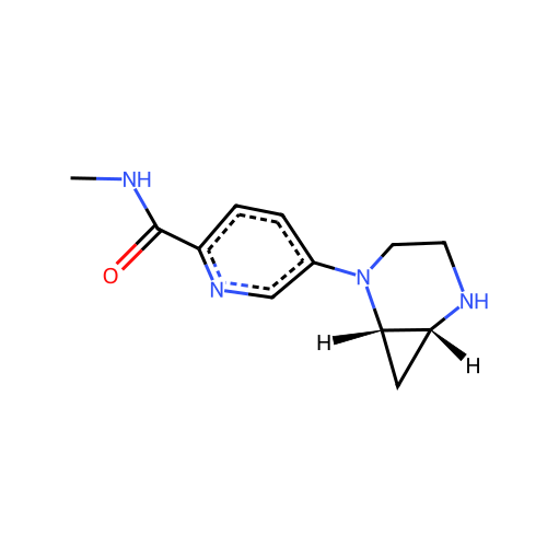 CNC(=O)c1ccc(N2CCN[C@@H]3C[C@@H]32)cn1